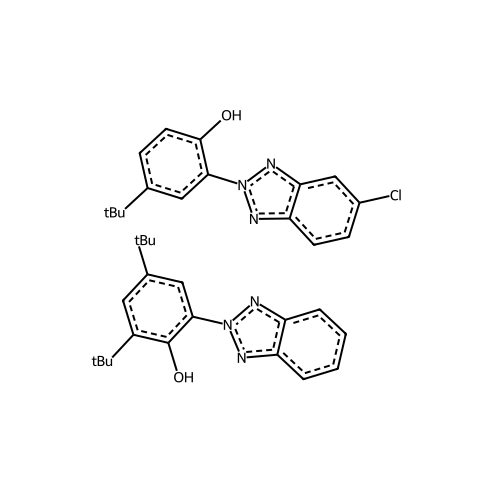 CC(C)(C)c1cc(-n2nc3ccccc3n2)c(O)c(C(C)(C)C)c1.CC(C)(C)c1ccc(O)c(-n2nc3ccc(Cl)cc3n2)c1